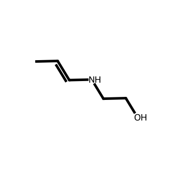 CC=CNCCO